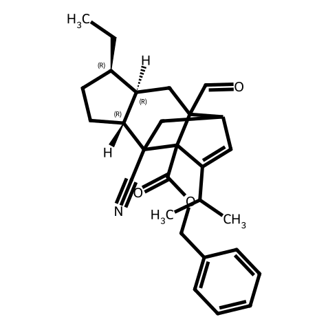 CC[C@@H]1CC[C@@H]2[C@@H]1CC1(C=O)C3C=C(C(C)C)C1(C(=O)OCc1ccccc1)C2(C#N)C3